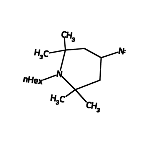 [CH2]CCCCCN1C(C)(C)CC([N])CC1(C)C